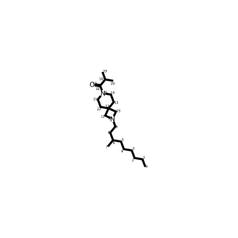 CCCCCCC(C)CCN1CC2(CCN(C(=O)C(C)C)CC2)C1